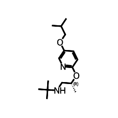 CC(C)COc1ccc(O[C@H](C)CNC(C)(C)C)nc1